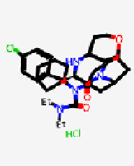 CCN(CC)C(=O)N(C1CCCCC1)C1CC2CCC(C1)N2C(=O)[C@@H](Cc1ccc(Cl)cc1)NC1CCOCC1.Cl